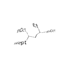 CCCCCCCCC(CC)CC(CCCCCCC)CCCCCCCC